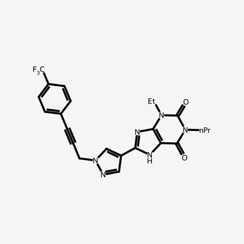 CCCn1c(=O)c2[nH]c(-c3cnn(CC#Cc4ccc(C(F)(F)F)cc4)c3)nc2n(CC)c1=O